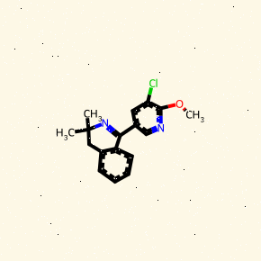 COc1ncc(C2=NC(C)(C)Cc3ccccc32)cc1Cl